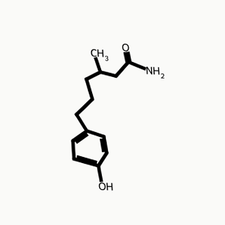 CC(CCCc1ccc(O)cc1)CC(N)=O